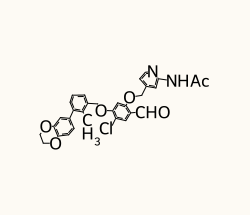 CC(=O)Nc1cc(COc2cc(OCc3cccc(-c4ccc5c(c4)OCCO5)c3C)c(Cl)cc2C=O)ccn1